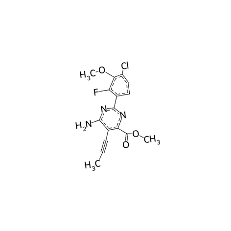 CC#Cc1c(N)nc(-c2ccc(Cl)c(OC)c2F)nc1C(=O)OC